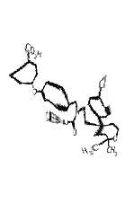 CC1(C)CC(CCN(Cc2ccc(O[C@H]3CC[C@H](C(=O)O)CC3)cc2)C(=O)C(C)(C)C)(c2ccc(Cl)cc2)CCO1